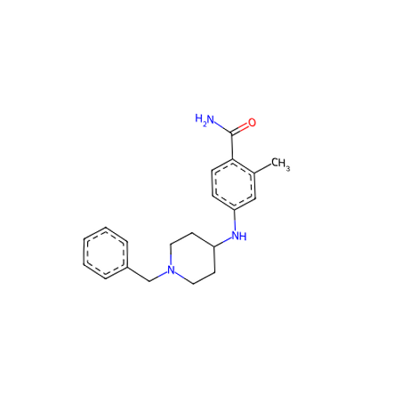 Cc1cc(NC2CCN(Cc3ccccc3)CC2)ccc1C(N)=O